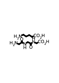 NCC(=O)NCC(=O)NCC(=O)O.NCCCCC(=O)O